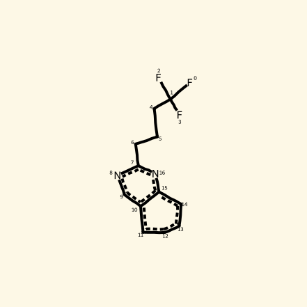 FC(F)(F)CCCc1ncc2ccccc2n1